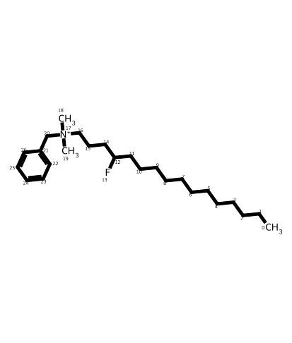 CCCCCCCCCCCCC(F)CCC[N+](C)(C)Cc1ccccc1